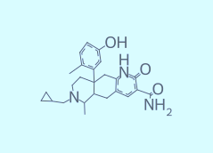 Cc1ccc(O)cc1C12CCN(CC3CC3)C(C)C1Cc1cc(C(N)=O)c(=O)[nH]c1C2